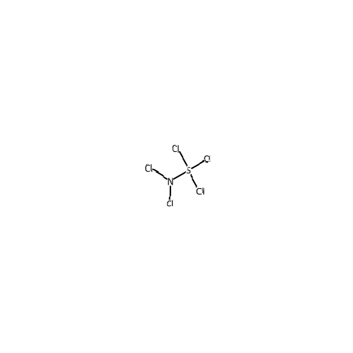 ClN(Cl)S(Cl)(Cl)Cl